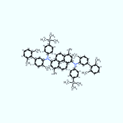 Cc1ccc(-c2c(C)cccc2C)cc1N(c1ccc([Si](C)(C)C)cc1)c1cc(C(C)C)c2ccc3c(N(c4ccc([Si](C)(C)C)cc4)c4cc(-c5c(C)cccc5C)ccc4C)cc(C(C)C)c4ccc1c2c43